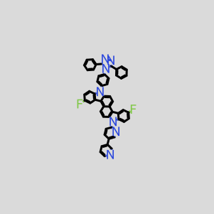 Fc1ccc2c(c1)c1c3ccc4c(c3ccc1n2-c1ccc(-n2c(-c3ccccc3)nnc2-c2ccccc2)cc1)c1cc(F)ccc1n4-c1ccc(-c2cccnc2)cn1